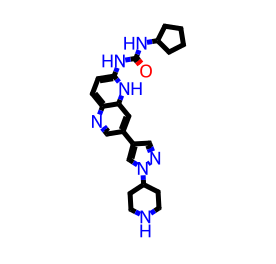 O=C(NC1=CC=C2N=CC(c3cnn(C4CCNCC4)c3)=CC2N1)NC1CCCC1